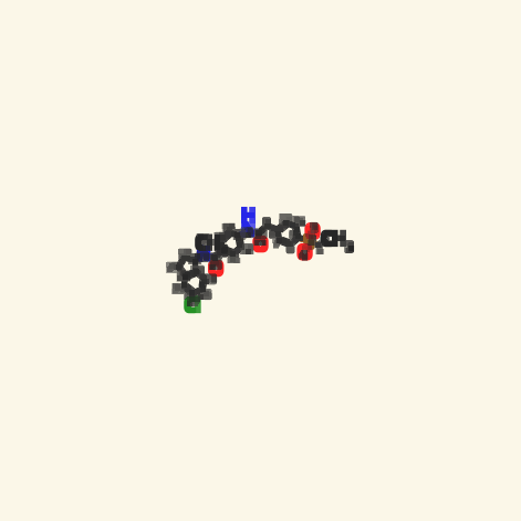 CCS(=O)(=O)c1ccc(CC(=O)Nc2ccc(C(=O)N(C)C3CCc4cc(Cl)ccc43)cc2)cc1